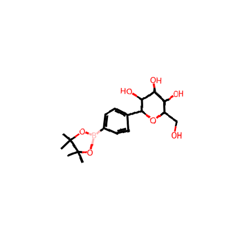 CC1(C)OB(c2ccc(C3OC(CO)C(O)C(O)C3O)cc2)OC1(C)C